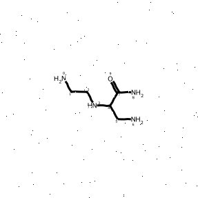 NCCNC(CN)C(N)=O